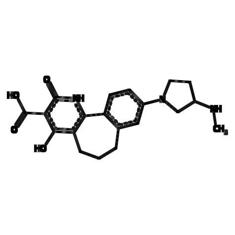 CNC1CCN(c2ccc3c(c2)CCCc2c-3[nH]c(=O)c(C(=O)O)c2O)C1